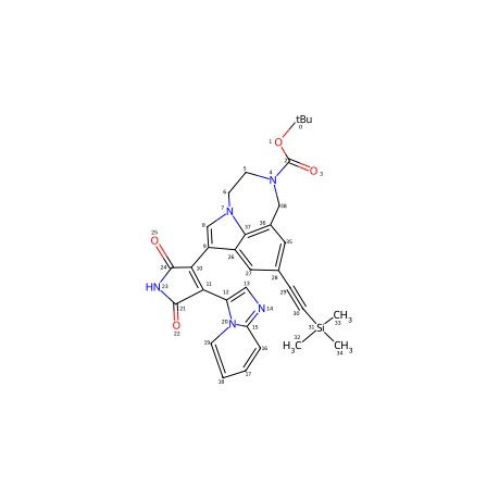 CC(C)(C)OC(=O)N1CCn2cc(C3=C(c4cnc5ccccn45)C(=O)NC3=O)c3cc(C#C[Si](C)(C)C)cc(c32)C1